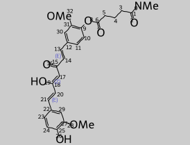 CNC(=O)CCCC(=O)Oc1ccc(/C=C/C(=O)/C=C(O)/C=C/c2ccc(O)c(OC)c2)cc1OC